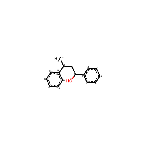 CC(CC(O)c1ccccc1)c1ccccc1